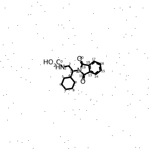 O=C(O)NCC(C1CCCCC1)N1C(=O)c2ccccc2C1=O